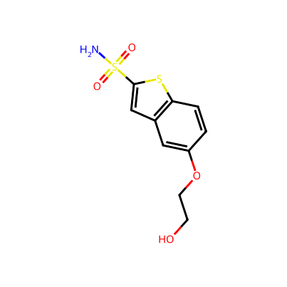 NS(=O)(=O)c1cc2cc(OCCO)ccc2s1